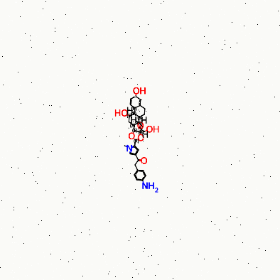 Cn1cc(C(=O)Cc2ccc(N)cc2)cc1[C@@H]1O[C@@H]2C[C@H]3[C@@H]4CCC5=CC(O)C=C[C@]5(C)[C@H]4[C@@H](O)C[C@]3(C)[C@]2(C(=O)CO)O1